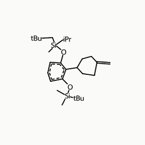 C=C1CCC(c2c(O[Si](C)(CC(C)(C)C)C(C)C)cccc2O[Si](C)(C)C(C)(C)C)CC1